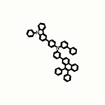 c1ccc(-c2cccc(N(c3ccc(-c4ccc5c(c4)c4ccccc4n5-c4ccccc4)cc3)c3cccc(-c4ccc5c(c4)c(-c4ccccc4)c(-c4ccccc4)c4ccccc45)c3)c2)cc1